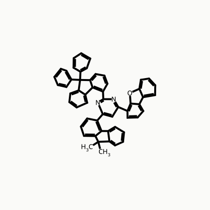 CC1(C)c2ccccc2-c2c(-c3cc(-c4cccc5c4oc4ccccc45)nc(-c4cccc5c4-c4ccccc4C5(c4ccccc4)c4ccccc4)n3)cccc21